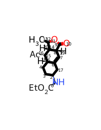 CCOC(=O)N[C@@H]1CC[C@@H]2C(=C[C@H]3C(=O)OC(C)[C@H]3[C@H]2C(C)=O)C1